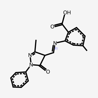 CC1=NN(c2ccccc2)C(=O)C1/C=N/c1cc(C)ccc1C(=O)O